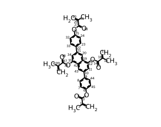 C=C(C)C(=O)Oc1ccc(-c2cc(OC(=O)C(=C)C)c3cc(-c4ccc(OC(=O)C(=C)C)cc4)cc(OC(=O)C(=C)C)c3c2)cc1